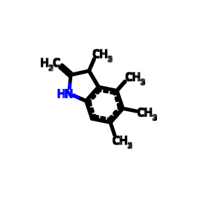 C=C1Nc2cc(C)c(C)c(C)c2C1C